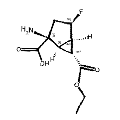 CCOC(=O)[C@H]1[C@H]2[C@@H]1[C@](N)(C(=O)O)C[C@H]2F